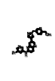 CC(C)c1cnnc(Nc2ccc3ncc(-c4cnn(Cc5ccc(CO)nc5)c4)cc3n2)c1